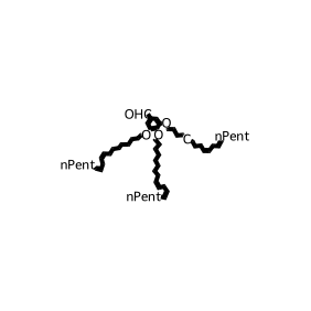 CCCCC/C=C\C/C=C\CCCCCCCCOc1cc(C=O)cc(OCCCCCCCC/C=C\C/C=C\CCCCC)c1OCCCCCCCC/C=C\C/C=C\CCCCC